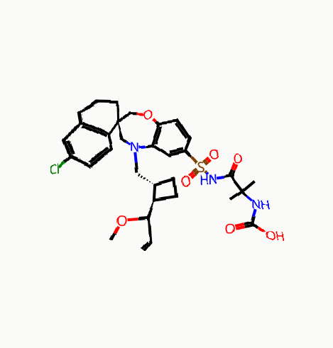 C=CC(OC)[C@@H]1CC[C@H]1CN1C[C@@]2(CCCc3cc(Cl)ccc32)COc2ccc(S(=O)(=O)NC(=O)C(C)(C)NC(=O)O)cc21